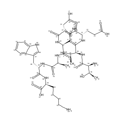 C[C@H](NC(=O)[C@H](CC(N)=O)NC(=O)[C@H](CC(=O)O)NC(=O)[C@H](CCC(=O)O)NC(=O)[C@@H](NC(=O)[C@@H](N)[C@@H](C)O)[C@@H](C)O)C(=O)N[C@@H](Cc1c[nH]c2ccccc12)C(=O)N[C@@H](CCCCN)C(=O)O